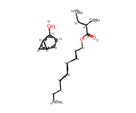 CCCCCCCCCCCCCCCCCCOC(=O)C(CC(C)(C)C)C(C)(C)C.Oc1ccc2cc1-2